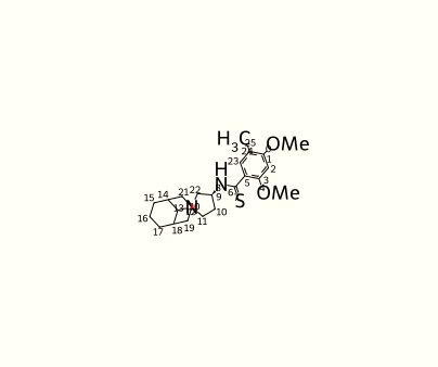 COc1cc(OC)c(C(=S)N[C@H]2CCN(C3C4CCCC3CCC4)C2)cc1C